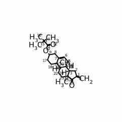 C=C1C[C@H]2[C@@H]3CC=C4CC(OC(=O)C(C)(C)C)CC[C@]4(C)[C@@H]3CC[C@]2(C)C1=O